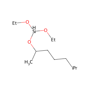 CCO[SiH](OCC)OC(C)CCCC(C)C